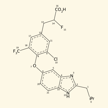 CC(C)Cc1nc2cc(Oc3c(Cl)cc(CC(F)C(=O)O)cc3C(F)(F)F)ccc2[nH]1